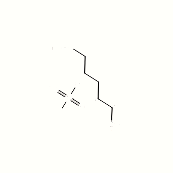 CCCCCCCCCCC[CH2][Zn+2].O=S(=O)([O-])[O-]